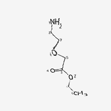 CCOC(=O)COCCN